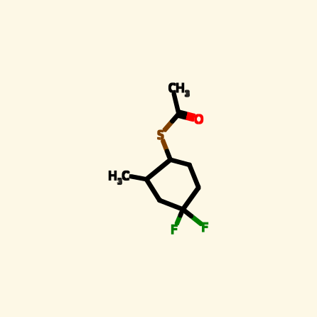 CC(=O)SC1CCC(F)(F)CC1C